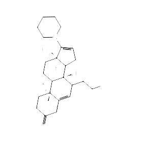 C[C@]12CCC(=O)CC1=CC(CCO)[C@@H]1[C@@H]2CC[C@]2(C)C(N3CCCCC3)=CC[C@@H]12